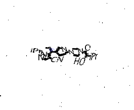 C/C=C(/c1ccc(N2CCN(C(=O)[C@H](O)C(C)C)CC2)nc1)c1c(C#N)cnn1C(C)C